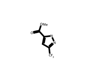 COC(=O)C1=CC(C(F)(F)F)=N[N]1